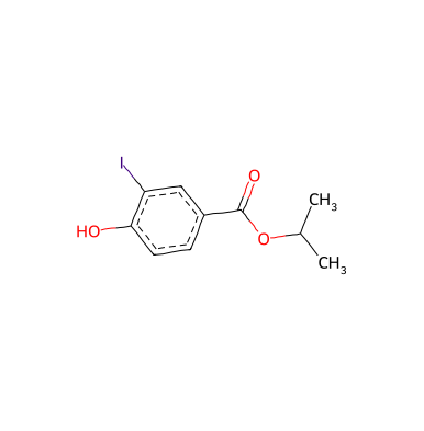 CC(C)OC(=O)c1ccc(O)c(I)c1